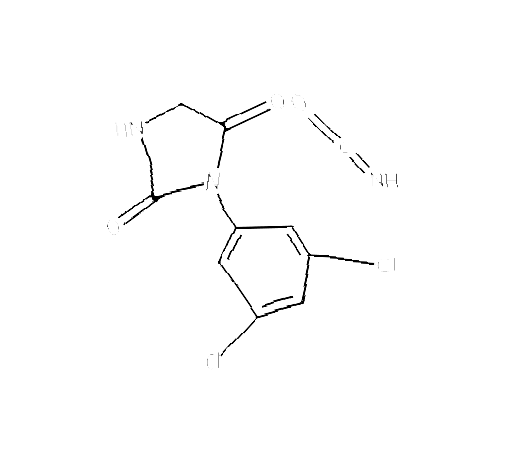 N=C=O.O=C1CNC(=O)N1c1cc(Cl)cc(Cl)c1